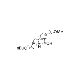 CCCCOC[C@H]1CCC2[C@@H]3C[C@@H](O)C4C[C@@H](OCOC)CC[C@]4(C)C3CC[C@@]21C